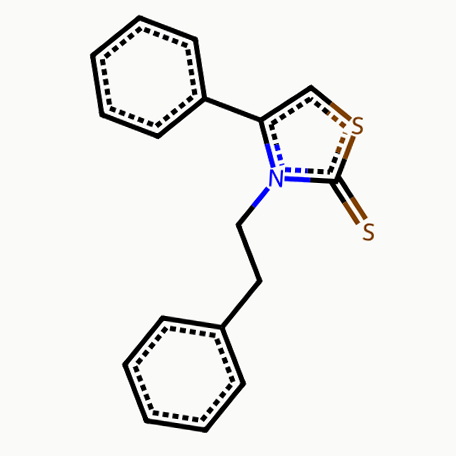 S=c1scc(-c2ccccc2)n1CCc1ccccc1